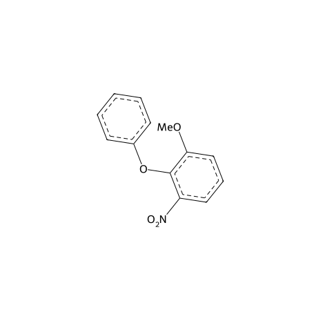 COc1cccc([N+](=O)[O-])c1Oc1ccccc1